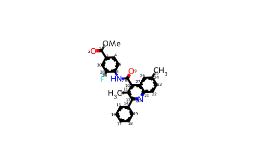 COC(=O)c1ccc(NC(=O)c2c(C)c(-c3ccccc3)nc3ccc(C)cc23)c(F)c1